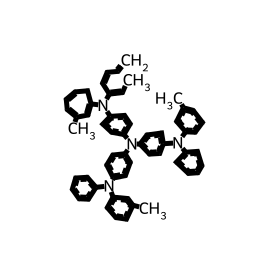 C=C/C=C\C(=C/C)N(C1=CC(C)=CC=CC1)c1ccc(N(c2ccc(N(c3ccccc3)c3cccc(C)c3)cc2)c2ccc(N(c3ccccc3)c3cccc(C)c3)cc2)cc1